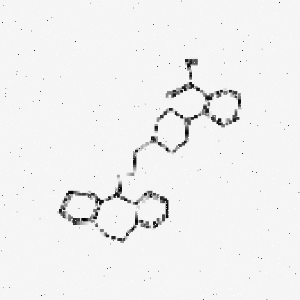 O=C(O)c1cccnc1N1CCN(CCC=C2c3ccccc3CCc3ccccc32)CC1